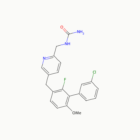 COc1ccc(Cc2ccc(CNC(N)=O)nc2)c(F)c1-c1cccc(Cl)c1